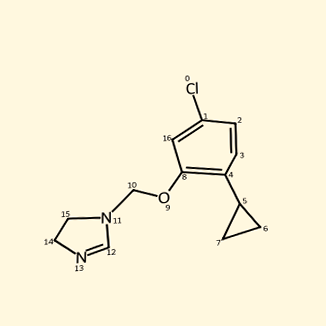 Clc1ccc(C2CC2)c(OCN2C=NCC2)c1